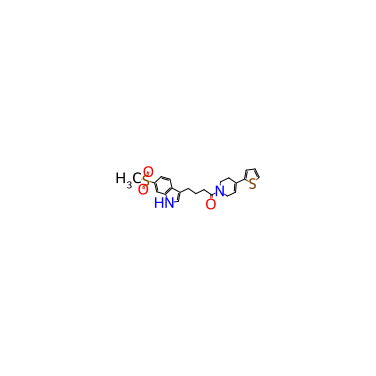 CS(=O)(=O)c1ccc2c(CCCC(=O)N3CC=C(c4cccs4)CC3)c[nH]c2c1